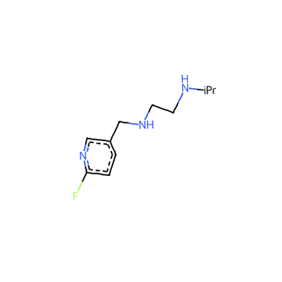 CC(C)NCCNCc1ccc(F)nc1